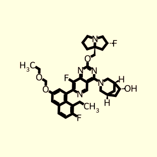 CCOCOc1cc(-c2ncc3c(N4C[C@@H]5C[C@H](C4)[C@H](O)C5)nc(OC[C@@]45CCCN4C[C@H](F)C5)nc3c2F)c2c(CC)c(F)ccc2c1